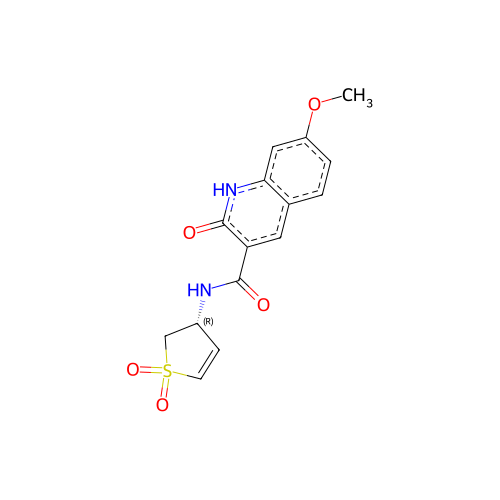 COc1ccc2cc(C(=O)N[C@@H]3C=CS(=O)(=O)C3)c(=O)[nH]c2c1